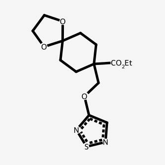 CCOC(=O)C1(COc2cnsn2)CCC2(CC1)OCCO2